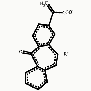 C=C(C(=O)[O-])c1ccc2c(=O)c3ccccc3ccc2c1.[K+]